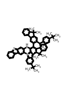 CC(c1ccc(C(C)(C)C)cc1)c1cc2c(cc1-c1c3c(c4c5cc(C(C)(C)C)ccc5n5c4c1Bc1cc4sc6ccccc6c4cc1-5)C(C)(C)c1ccccc1-3)-c1ccccc1C2(C)C